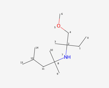 CCC(C)(COC)NC(C)(C)CC(C)C